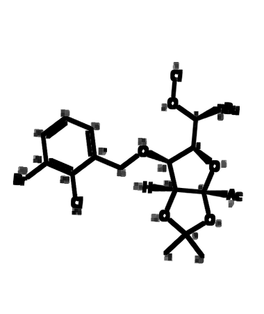 CCCC[C@H](OCl)[C@H]1O[C@]2(C(C)=O)OC(C)(C)O[C@@H]2[C@H]1OCc1cccc(Br)c1Cl